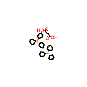 O=C(O)CCC(=O)O.c1ccc(P(c2ccccc2)c2ccccc2)cc1.c1ccc(P(c2ccccc2)c2ccccc2)cc1